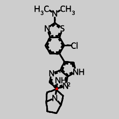 CN(C)c1nc2ccc(-c3c[nH]c4nc(N5C6CCC5CC(N)C6)cnc34)c(Cl)c2s1